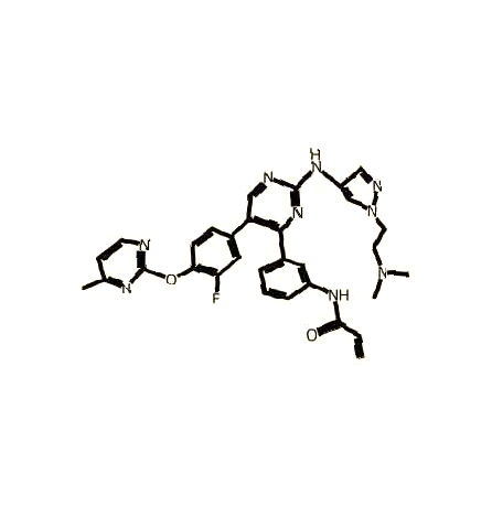 C=CC(=O)Nc1cccc(-c2nc(Nc3cnn(CCN(C)C)c3)ncc2-c2ccc(Oc3nccc(C)n3)c(F)c2)c1